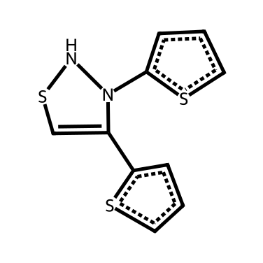 C1=C(c2cccs2)N(c2cccs2)NS1